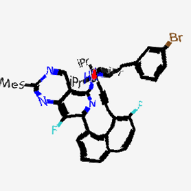 CSc1ncc2c(NCCc3cccc(Br)c3)nc(-c3cccc4ccc(F)c(C#C[Si](C(C)C)(C(C)C)C(C)C)c34)c(F)c2n1